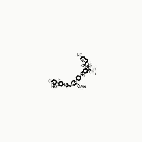 COC[C@H]1CN(CC2CN(c3cc(F)c([C@H]4CCC(=O)NC4=O)c(F)c3)C2)CCN1C1CCC(n2cc3cc(NC(=O)c4ccc5cc(C#N)cnn45)c(C(C)(C)O)cc3n2)CC1